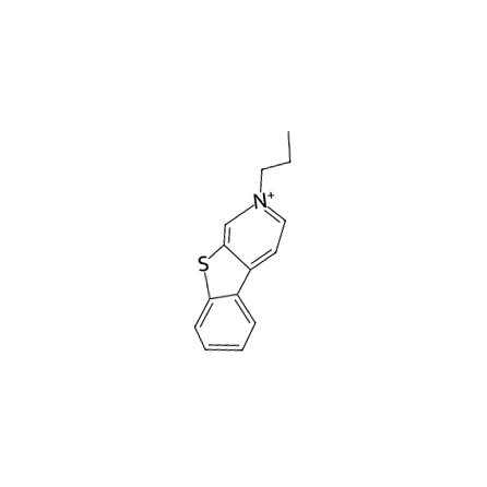 CCC[n+]1ccc2c(c1)sc1ccccc12